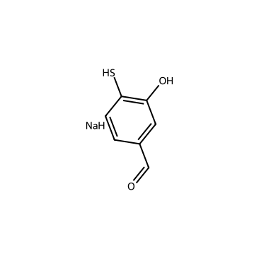 O=Cc1ccc(S)c(O)c1.[NaH]